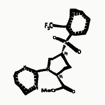 COC(=O)[C@@H]1C[C@@H](S(=O)(=O)c2ccccc2C(F)(F)F)CN1c1ncccn1